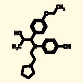 CCOc1ccc(C(C(C)O)N(CCN2CCCC2)c2ccc(O)cc2)cc1